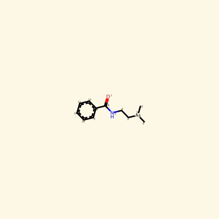 C[As](C)CCNC(=O)c1cc[c]cc1